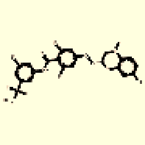 CN1C[C@@H](COc2cc(F)c(C(=O)Nc3cc(F)cc(C(F)(F)C(=O)O)c3)c(F)c2)Oc2cc(Cl)ccc21